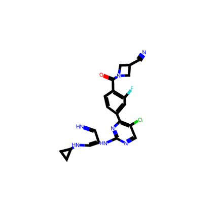 N#CC1CN(C(=O)c2ccc(-c3nc(N/C(C=N)=C/NC4CC4)ncc3Cl)cc2F)C1